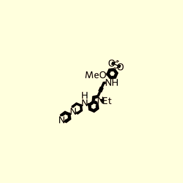 CCn1c(C#CCNc2ccc(S(C)(=O)=O)cc2OC)cc2c(NC3CCN(c4ccncc4)CC3)cccc21